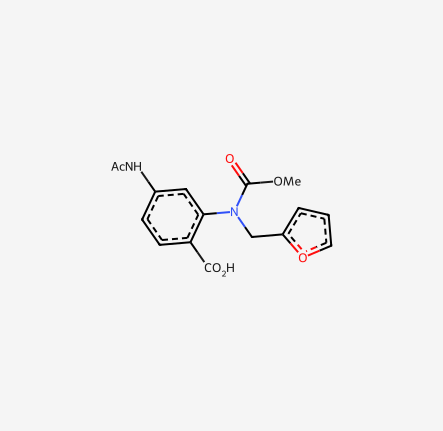 COC(=O)N(Cc1ccco1)c1cc(NC(C)=O)ccc1C(=O)O